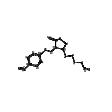 CCCC(C)CCCCN1CCC(=O)N1CCc1ccc(C(=O)O)cc1